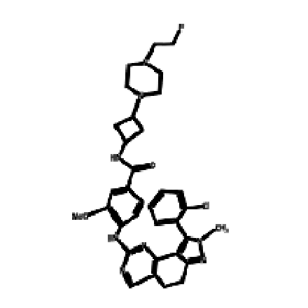 COc1cc(C(=O)NC2CC(N3CCN(CCF)CC3)C2)ccc1Nc1ncc2c(n1)-c1c(nn(C)c1-c1ccccc1Cl)CC2